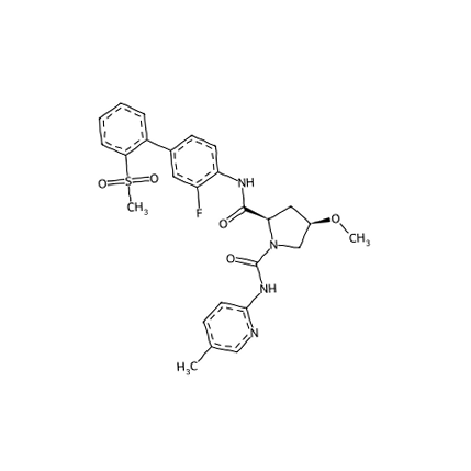 CO[C@@H]1C[C@H](C(=O)Nc2ccc(-c3ccccc3S(C)(=O)=O)cc2F)N(C(=O)Nc2ccc(C)cn2)C1